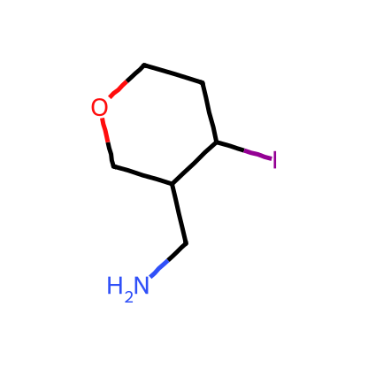 NCC1COCCC1I